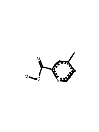 CCOC(=O)c1cc(I)ccn1